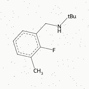 Cc1cccc(CNC(C)(C)C)c1F